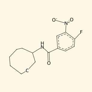 O=C(NC1CCCCCCC1)c1ccc(F)c([N+](=O)[O-])c1